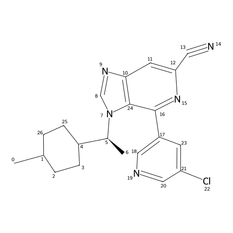 CC1CCC([C@H](C)n2cnc3cc(C#N)nc(-c4cncc(Cl)c4)c32)CC1